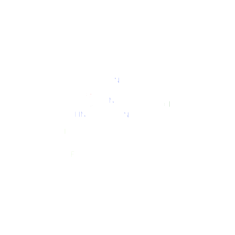 O=c1cc(CN(c2cccc(Cl)c2)c2ccncn2)c2ccc(F)c(F)c2[nH]1